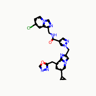 O=C(NCc1ncn2ccc(Cl)cc12)c1cnn(Cc2cn3cc(C4CC4)cc(Cc4nnco4)c3n2)c1